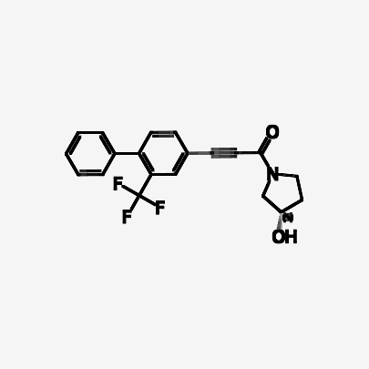 O=C(C#Cc1ccc(-c2ccccc2)c(C(F)(F)F)c1)N1CC[C@H](O)C1